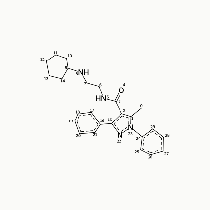 Cc1c(C(=O)NCCNC2CCCCC2)c(-c2ccccc2)nn1-c1ccccc1